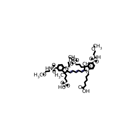 COCCNS(=O)(=O)c1ccc2c(c1)C(C)(CCCS(=O)(=O)O)C(/C=C/C=C/C=C1/N(CCCCCC(=O)O)c3ccc(S(=O)(=O)NCCOC)cc3C1(C)CCCS(=O)(=O)[O-])=[N+]2CCOC